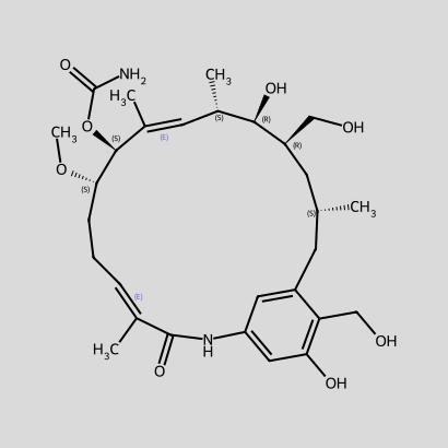 CO[C@H]1CC/C=C(\C)C(=O)Nc2cc(O)c(CO)c(c2)C[C@@H](C)C[C@H](CO)[C@H](O)[C@@H](C)/C=C(\C)[C@@H]1OC(N)=O